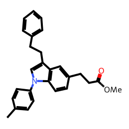 COC(=O)CCc1ccc2c(c1)c(CCc1ccccc1)cn2-c1ccc(C)cc1